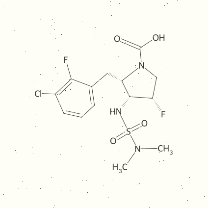 CN(C)S(=O)(=O)N[C@H]1[C@@H](F)CN(C(=O)O)[C@H]1Cc1cccc(Cl)c1F